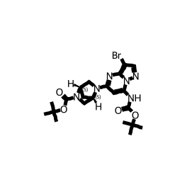 CC(C)(C)OC(=O)Nc1cc(N2C[C@@H]3C[C@H]2CN3C(=O)OC(C)(C)C)nc2c(Br)cnn12